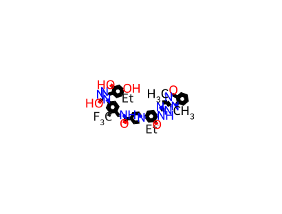 CCOc1cc(N2CCC(C(=O)NCc3ccc(-n4c(O)nnc4-c4cc(CC)c(O)cc4O)cc3C(F)(F)F)CC2)ccc1Nc1ncc2c(n1)N(C)c1ccccc1C(=O)N2C